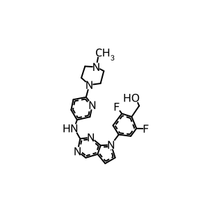 CN1CCN(c2ccc(Nc3ncc4ccn(-c5cc(F)c(CO)c(F)c5)c4n3)cn2)CC1